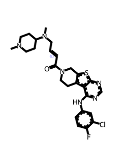 CN1CCC(N(C)C/C=C/C(=O)N2CCc3c(sc4ncnc(Nc5ccc(F)c(Cl)c5)c34)C2)CC1